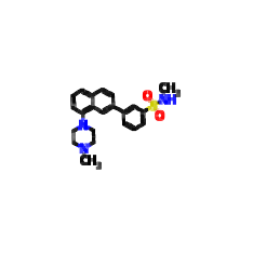 CNS(=O)(=O)c1cccc(-c2ccc3cccc(N4CCN(C)CC4)c3c2)c1